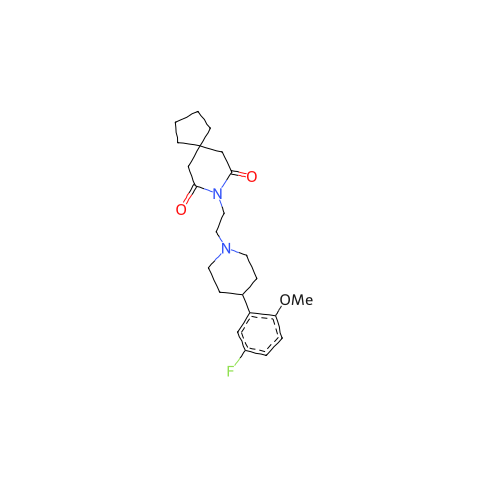 COc1ccc(F)cc1C1CCN(CCN2C(=O)CC3(CCCC3)CC2=O)CC1